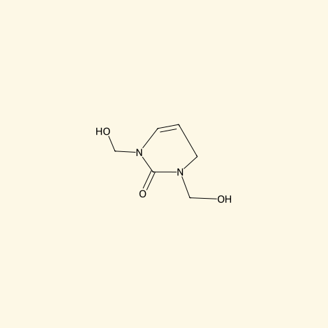 O=C1N(CO)C=CCN1CO